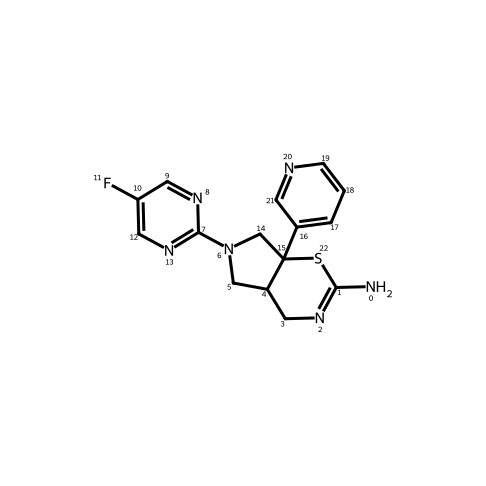 NC1=NCC2CN(c3ncc(F)cn3)CC2(c2cccnc2)S1